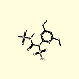 COc1cc(OC)nc(N(C(=O)N(C)S(C)(=O)=O)S(N)(=O)=O)n1